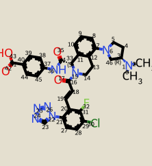 CN(C)[C@@H]1CCN(c2cccc3c2CCN(C(=O)C=Cc2c(-n4cnnn4)ccc(Cl)c2F)[C@@H]3C(=O)Nc2ccc(C(=O)O)cc2)C1